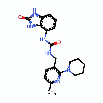 Cc1ccc(CNC(=O)Nc2cccc3[nH]c(=O)[nH]c23)c(N2CCCCC2)n1